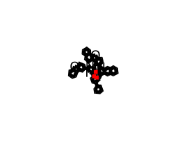 c1ccc(-c2ccc(-c3nc(-c4ccc5oc6ccccc6c5c4)nc(-c4c(-n5c6ccccc6c6cc7ccccc7cc65)ccc5oc6c7ccccc7ccc6c45)n3)cc2)cc1